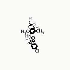 CC(=O)Oc1c(C)c(C)cc(NC(=O)NS(=O)(=O)c2ccc(Cl)cc2)c1C